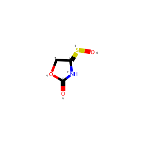 O=S=C1COC(=O)N1